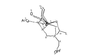 CC(=O)OC12CC34CC(CO)(CC31)C(C)C4OS2(=O)=O